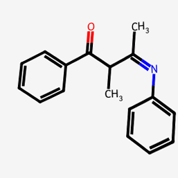 CC(=Nc1ccccc1)C(C)C(=O)c1ccccc1